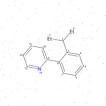 CCC(CC)c1ccccc1-c1ccccn1